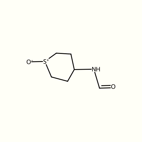 O=CNC1CC[S+]([O-])CC1